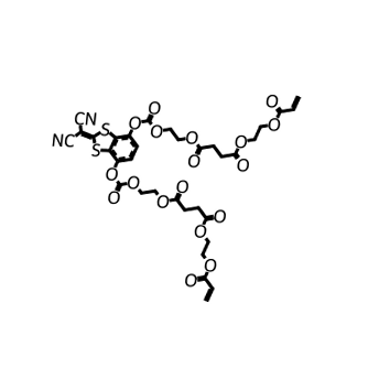 C=CC(=O)OCCOC(=O)CCC(=O)OCCOC(=O)Oc1ccc(OC(=O)OCCOC(=O)CCC(=O)OCCOC(=O)C=C)c2c1SC(=C(C#N)C#N)S2